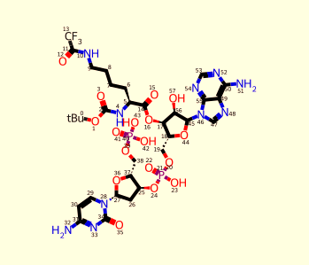 CC(C)(C)OC(=O)N[C@@H](CCCCNC(=O)C(F)(F)F)C(=O)O[C@@H]1[C@@H](COP(=O)(O)O[C@H]2C[C@H](n3ccc(N)nc3=O)O[C@@H]2COP(=O)(O)O)OC(n2cnc3c(N)ncnc32)[C@@H]1O